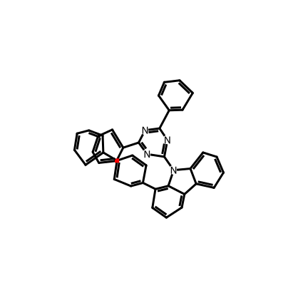 c1ccc(-c2ccc(-c3cccc4c5ccccc5n(-c5nc(-c6ccccc6)nc(-c6ccccc6)n5)c34)cc2)cc1